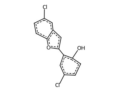 Oc1ccc(Cl)cc1-c1cc2cc(Cl)ccc2o1